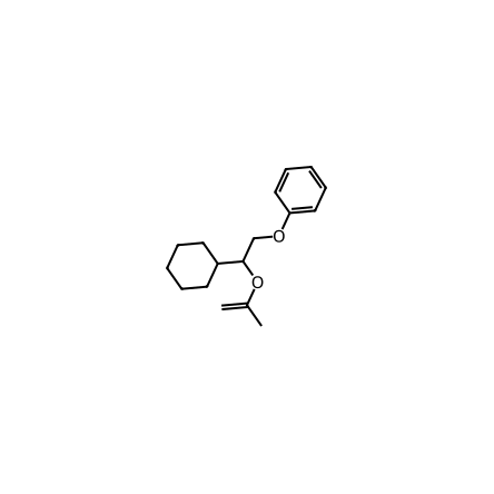 C=C(C)OC(COc1ccccc1)C1CCCCC1